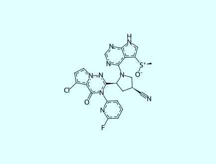 C[S@@+]([O-])c1c[nH]c2ncnc(N3C[C@@H](C#N)C[C@H]3c3nn4ccc(Cl)c4c(=O)n3-c3cccc(F)n3)c12